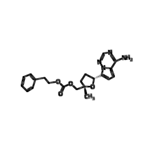 C[C@@]1(COC(=O)OCCc2ccccc2)CC[C@H](c2ccc3c(N)ncnn23)O1